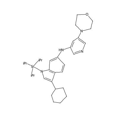 CC(C)[Si](C(C)C)(C(C)C)n1cc(C2CCCCC2)c2ccc(Nc3cncc(N4CCOCC4)c3)cc21